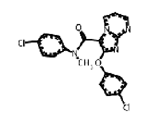 CN(C(=O)c1c(Oc2ccc(Cl)cc2)nc2ncccn12)c1ccc(Cl)cc1